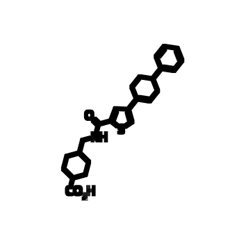 O=C(NCC1CCC(C(=O)O)CC1)c1cc(C2=CCC(c3ccccc3)CC2)cs1